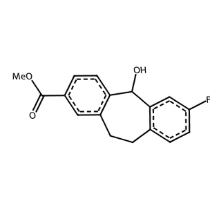 COC(=O)c1ccc2c(c1)CCc1ccc(F)cc1C2O